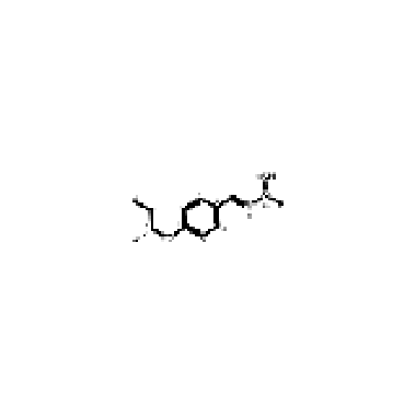 CC[C@@H](C)Oc1ccc(/C=N/N(C)S)cc1